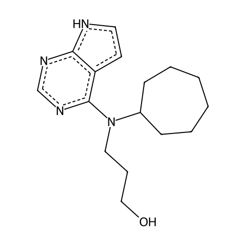 OCCCN(c1ncnc2[nH]ccc12)C1CCCCCC1